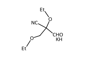 CCOCC(C#N)(C=O)OCC.[KH]